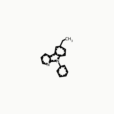 CCc1ccc2c(c1)c1cccnc1n2-c1ccccc1